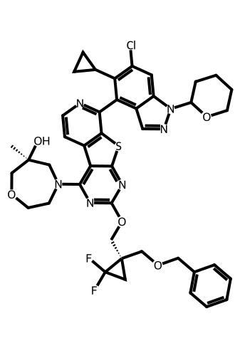 C[C@@]1(O)COCCN(c2nc(OC[C@]3(COCc4ccccc4)CC3(F)F)nc3sc4c(-c5c(C6CC6)c(Cl)cc6c5cnn6C5CCCCO5)nccc4c23)C1